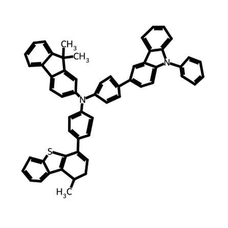 CC1CC=C(c2ccc(N(c3ccc(-c4ccc5c(c4)c4ccccc4n5-c4ccccc4)cc3)c3ccc4c(c3)C(C)(C)c3ccccc3-4)cc2)c2sc3ccccc3c21